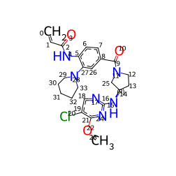 C=CC(=O)Nc1ccc(C(=O)N2CC[C@@H](Nc3ncc(Cl)c(OC)n3)C2)cc1N1CCCCC1